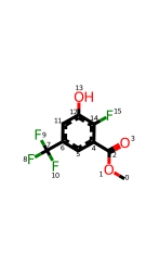 COC(=O)c1cc(C(F)(F)F)cc(O)c1F